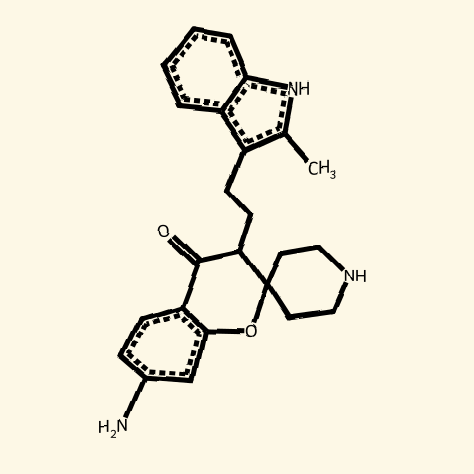 Cc1[nH]c2ccccc2c1CCC1C(=O)c2ccc(N)cc2OC12CCNCC2